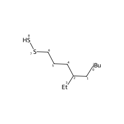 CCC(C)CC(CC)CCCSS